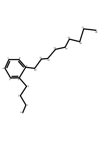 [CH2]CCCc1ccccc1CCCCCCCCC